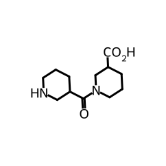 O=C(O)C1CCCN(C(=O)C2CCCNC2)C1